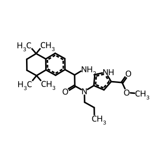 CCCN(C(=O)C(N)c1ccc2c(c1)C(C)(C)CCC2(C)C)c1c[nH]c(C(=O)OC)c1